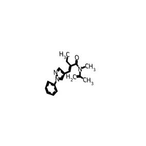 C=C(C)N(C)C(=O)/C(=C/c1cnn(-c2ccccc2)c1)CC